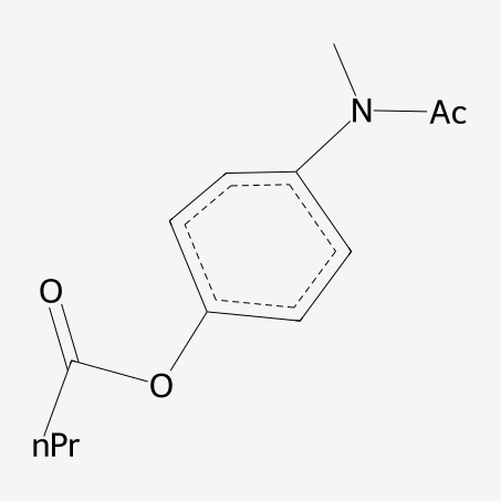 CCCC(=O)Oc1ccc(N(C)C(C)=O)cc1